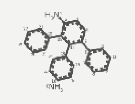 N.Nc1ccc(-c2ccccc2)c(-c2ccccc2)c1-c1ccccc1